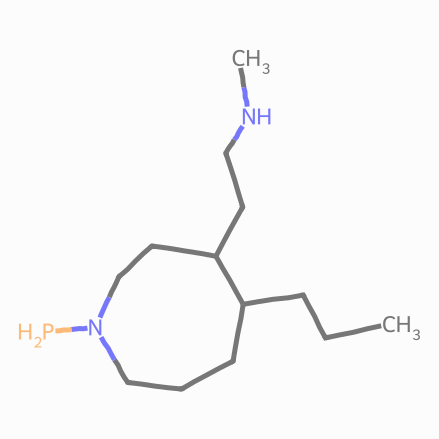 CCCC1CCCN(P)CCC1CCNC